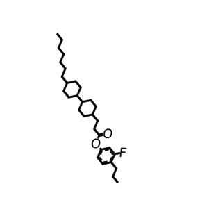 CCCCCCCC1CCC(C2CCC(CCC(=O)Oc3ccc(CCC)c(F)c3)CC2)CC1